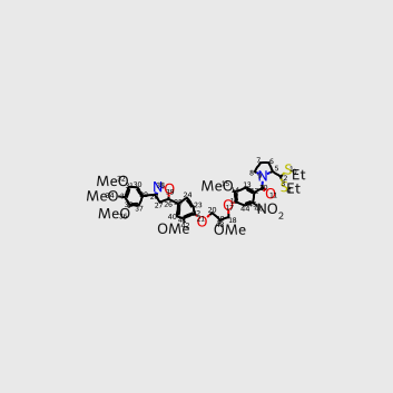 CCSC(SCC)C1CCCN1C(=O)c1cc(OC)c(OCC(COc2ccc(C3CC(c4cc(OC)c(OC)c(OC)c4)=NO3)cc2OC)OC)cc1[N+](=O)[O-]